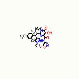 C[C@@H](c1nc(C(=O)Nc2cnoc2)c(O)c(=O)n1C)[C@@H](c1cnn(C)c1)c1ccc(C(F)(F)F)cc1C#N